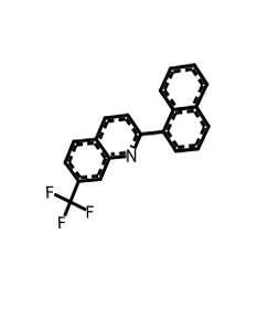 FC(F)(F)c1ccc2ccc(-c3cccc4ccccc34)nc2c1